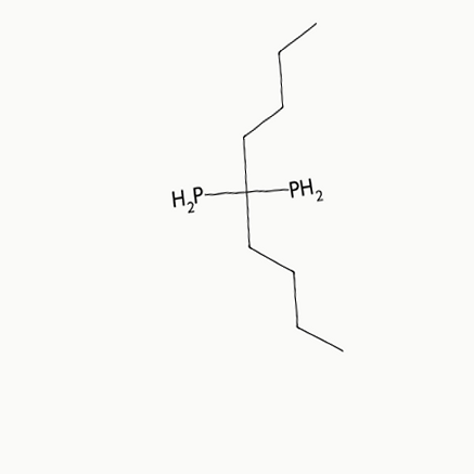 CCCCC(P)(P)CCCC